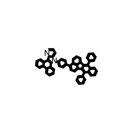 c1ccc(-c2c3c(c(-c4ccccc4)c4ccccc24)-c2ccc(-c4ccc(-n5c6cccnc6c6c7ccccc7c7ccccc7c65)cc4)c4cccc-3c24)cc1